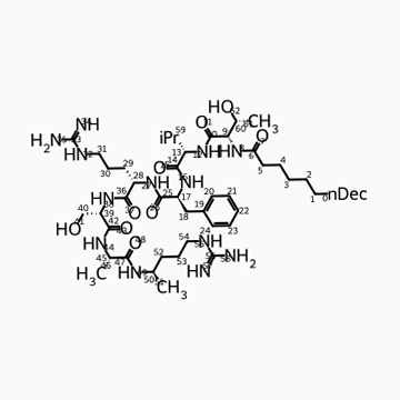 CCCCCCCCCCCCCCCC(=O)N[C@H](C(=O)N[C@H](C(=O)N[C@@H](Cc1ccccc1)C(=O)N[C@@H](CCCNC(=N)N)C(=O)N[C@@H](CO)C(=O)N[C@@H](C)C(=O)N[C@H](C)CCCNC(=N)N)C(C)C)[C@@H](C)O